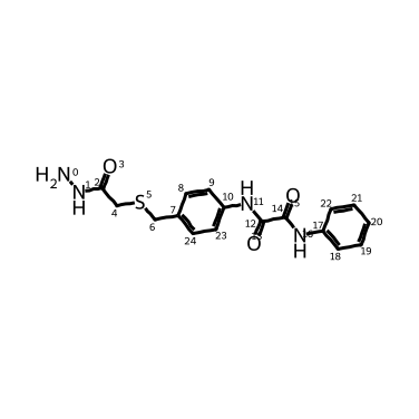 NNC(=O)CSCc1ccc(NC(=O)C(=O)Nc2ccccc2)cc1